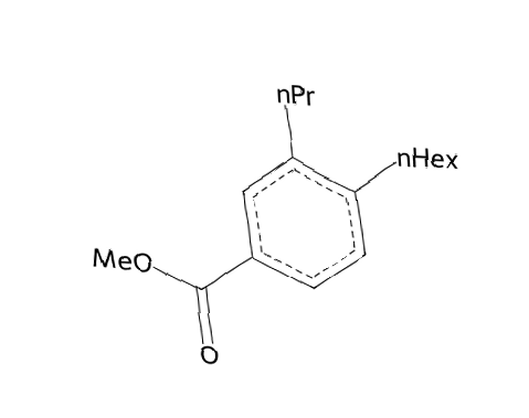 CCCCCCc1ccc(C(=O)OC)cc1CCC